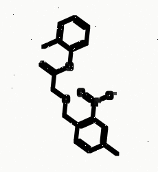 C=C(COCc1ccc(C)cc1[N+](=O)[O-])Oc1ccccc1C